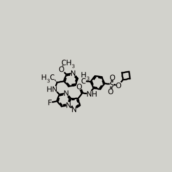 COc1ncccc1[C@@H](C)Nc1nc2c(C(=O)Nc3cc(S(=O)(=O)OC4CCC4)ccc3C)cnn2cc1F